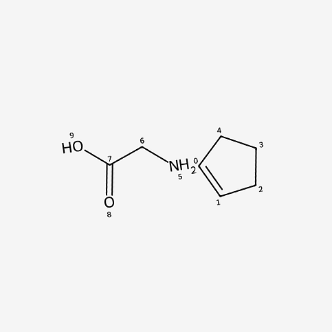 C1=CCCC1.NCC(=O)O